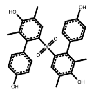 Cc1cc(S(=O)(=O)c2cc(C)c(O)c(C)c2-c2ccc(O)cc2)c(-c2ccc(O)cc2)c(C)c1O